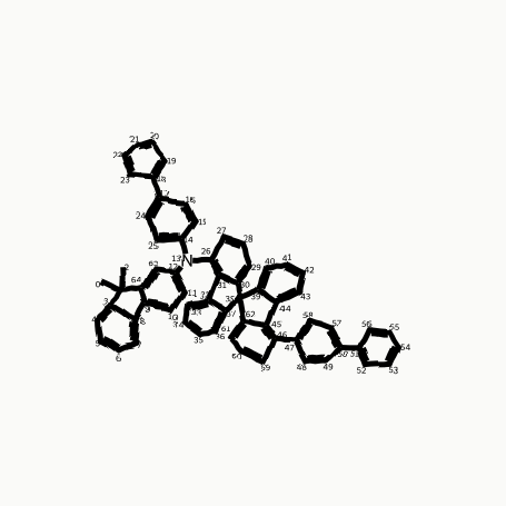 CC1(C)c2ccccc2-c2ccc(N(c3ccc(-c4ccccc4)cc3)c3cccc4c3-c3ccccc3C43c4ccccc4-c4c(-c5ccc(-c6ccccc6)cc5)cccc43)cc21